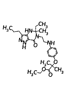 CCCc1n[nH]c2c1NC(C)(CC)N(CCNc1ccc(OC(C)(C)C(=O)OCC)cc1)C2=O